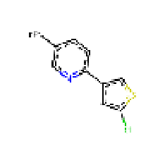 CCCc1ccc(-c2csc(Cl)c2)nc1